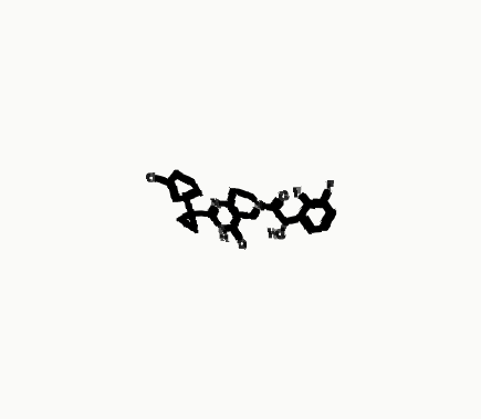 O=C([C@@H](O)c1cccc(F)c1F)N1CCc2nc(C3(c4cccc(Cl)c4)CC3)[nH]c(=O)c2C1